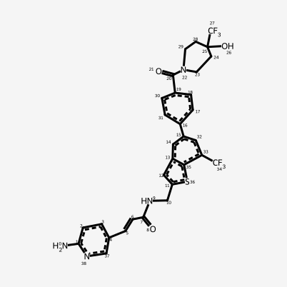 Nc1ccc(/C=C/C(=O)NCc2cc3cc(-c4ccc(C(=O)N5CCC(O)(C(F)(F)F)CC5)cc4)cc(C(F)(F)F)c3s2)cn1